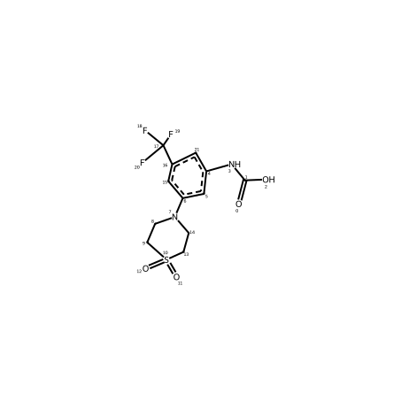 O=C(O)Nc1cc(N2CCS(=O)(=O)CC2)cc(C(F)(F)F)c1